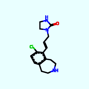 O=C1NCCN1CC=Cc1c(Cl)ccc2c1CCNCC2